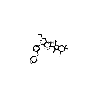 CCCCC(NC(=O)c1[nH]c2c(c1C)C(=O)CC(C)(C)C2)C(=O)Nc1cccc(CN2CCOCC2)c1